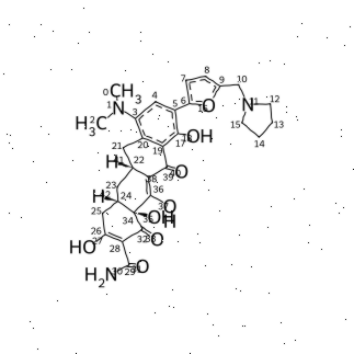 CN(C)c1cc(-c2ccc(CN3CCCC3)o2)c(O)c2c1C[C@H]1C[C@H]3CC(O)=C(C(N)=O)C(=O)[C@@]3(O)C(O)=C1C2=O